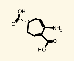 NC1=CC[C@@H](C(=O)O)CC=C1C(=O)O